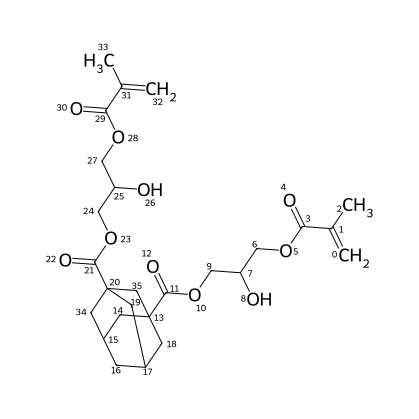 C=C(C)C(=O)OCC(O)COC(=O)C12CC3CC(C1)CC(C(=O)OCC(O)COC(=O)C(=C)C)(C3)C2